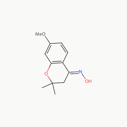 COc1ccc2c(c1)OC(C)(C)C/C2=N\O